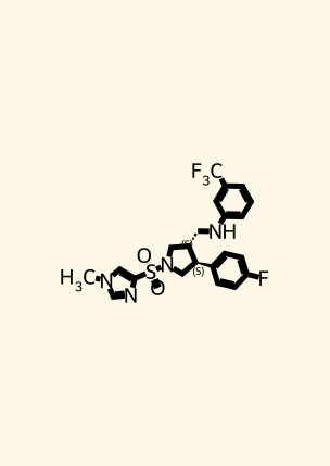 Cn1cnc(S(=O)(=O)N2C[C@H](CNc3cccc(C(F)(F)F)c3)[C@@H](c3ccc(F)cc3)C2)c1